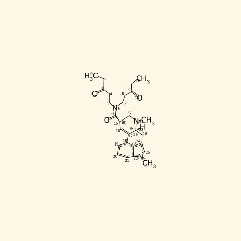 CCC(=O)CCN(CCC(=O)CC)C(=O)[C@@H]1C=C2c3cccc4c3c(cn4C)C[C@H]2N(C)C1